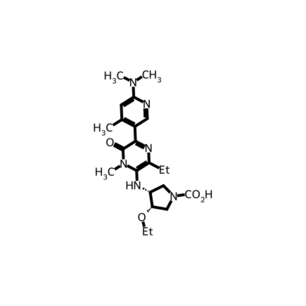 CCO[C@H]1CN(C(=O)O)C[C@H]1Nc1c(CC)nc(-c2cnc(N(C)C)cc2C)c(=O)n1C